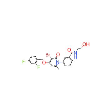 Cc1cc(OCc2ccc(F)cc2F)c(Br)c(=O)n1-c1cccc(C(=O)NCCO)c1